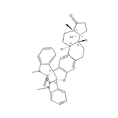 CN1C(=O)[C@@]2(c3cc4c(cc3O[C@]23C(=O)N(C)c2ccccc23)CC[C@@H]2[C@@H]4CC[C@]3(C)C(=O)CC[C@@H]23)c2ccccc21